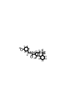 COc1cccc([C@@H](C)NC(=O)c2cc(C)n(-c3ccccc3C(F)(F)F)c2C)c1